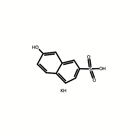 O=S(=O)(O)c1ccc2ccc(O)cc2c1.[KH]